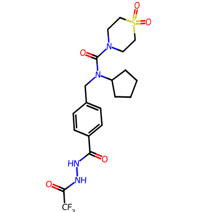 O=C(NNC(=O)C(F)(F)F)c1ccc(CN(C(=O)N2CCS(=O)(=O)CC2)C2CCCC2)cc1